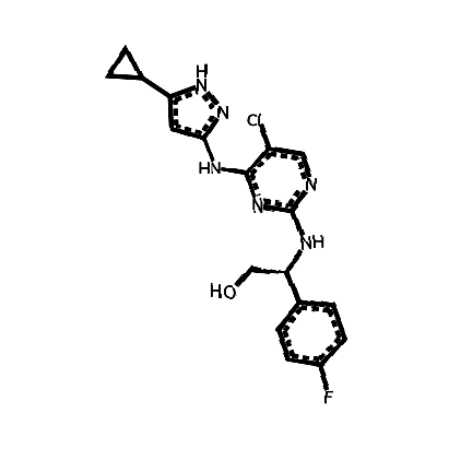 OC[C@@H](Nc1ncc(Cl)c(Nc2cc(C3CC3)[nH]n2)n1)c1ccc(F)cc1